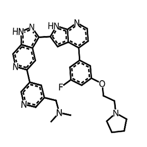 CN(C)Cc1cncc(-c2cc3c(-c4cc5c(-c6cc(F)cc(OCCN7CCCC7)c6)ccnc5[nH]4)n[nH]c3cn2)c1